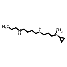 CCCNCCCCNCCCN(C)C1CC1